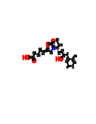 Cc1ccccc1CC(O)/C=C/[C@H]1CCOC(=O)N1CC#CCCCC(=O)O